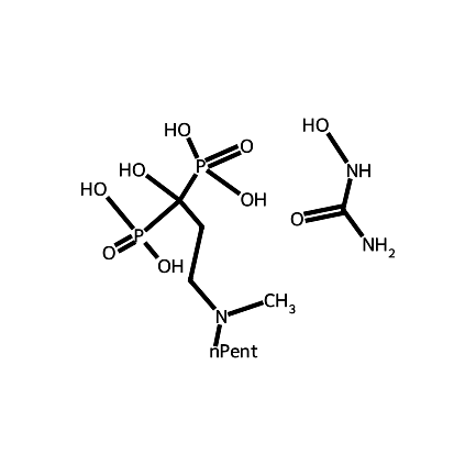 CCCCCN(C)CCC(O)(P(=O)(O)O)P(=O)(O)O.NC(=O)NO